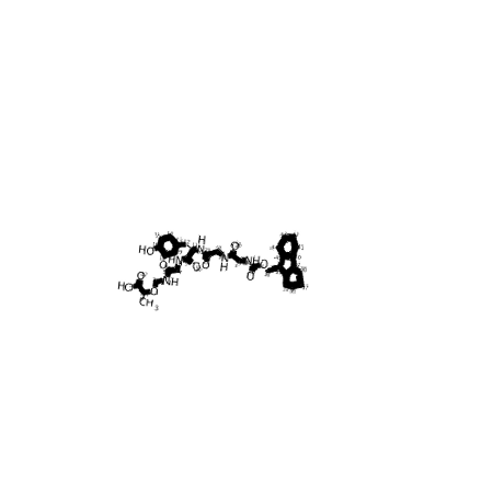 C[C@@H](OCNC(=O)CNC(=O)[C@H](Cc1ccc(O)cc1)NC(=O)CNC(=O)CNC(=O)OCC1c2ccccc2-c2ccccc21)C(=O)O